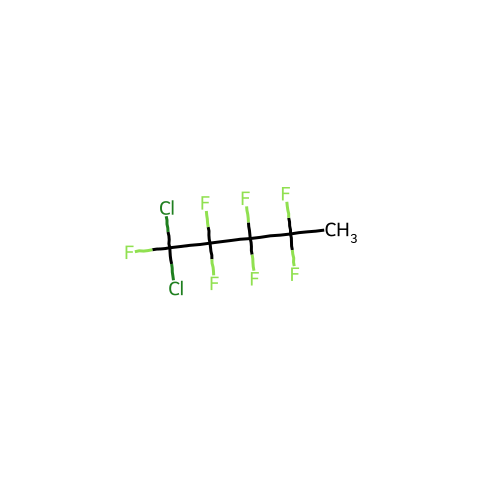 CC(F)(F)C(F)(F)C(F)(F)C(F)(Cl)Cl